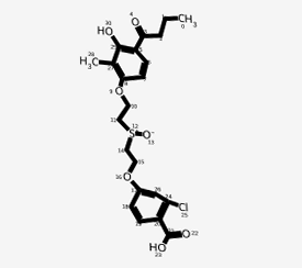 CCCC(=O)c1ccc(OCC[S+]([O-])CCOc2ccc(C(=O)O)c(Cl)c2)c(C)c1O